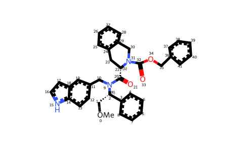 COC[C@@H](c1ccccc1)N(Cc1ccc2[nH]ccc2c1)C(=O)[C@@H]1Cc2ccccc2CN1C(=O)OCc1ccccc1